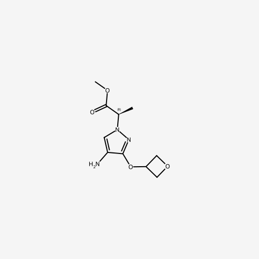 COC(=O)[C@@H](C)n1cc(N)c(OC2COC2)n1